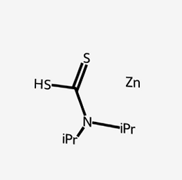 CC(C)N(C(=S)S)C(C)C.[Zn]